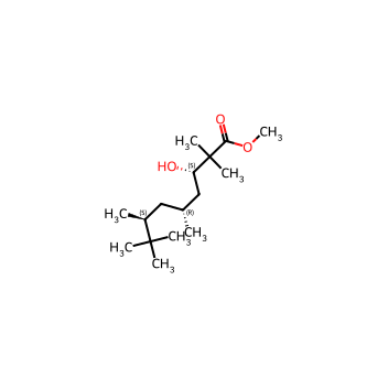 COC(=O)C(C)(C)[C@@H](O)C[C@H](C)C[C@H](C)C(C)(C)C